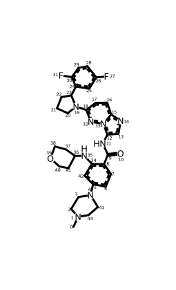 CN1CCN(c2ccc(C(=O)Nc3cnc4ccc(N5CCCC5c5cc(F)ccc5F)nn34)c(NC3CCOCC3)c2)CC1